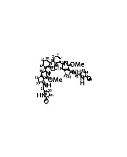 COc1nc(-c2cccc(-c3cccc(-c4cc5c(c(OC)n4)C(NCC4CCC(=O)N4)CC5)c3Cl)c2Cl)cc2c1C(NCC1CCC(=O)N1)CC2